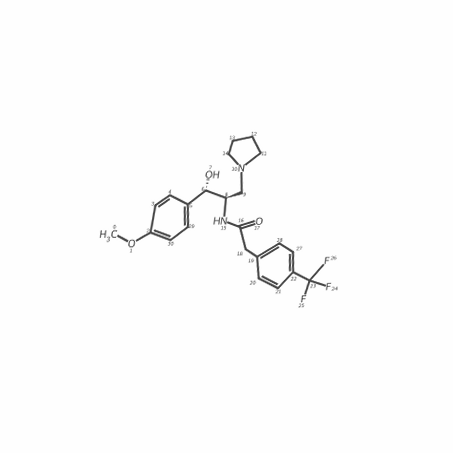 COc1ccc([C@H](O)[C@@H](CN2CCCC2)NC(=O)Cc2ccc(C(F)(F)F)cc2)cc1